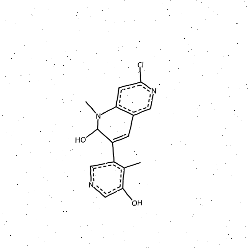 Cc1c(O)cncc1C1=Cc2cnc(Cl)cc2N(C)C1O